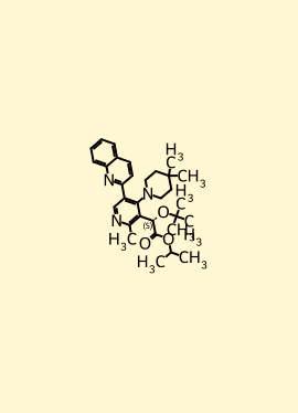 Cc1ncc(-c2ccc3ccccc3n2)c(N2CCC(C)(C)CC2)c1[C@H](OC(C)(C)C)C(=O)OC(C)C